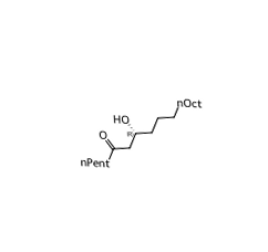 [CH2]CCCCC(=O)C[C@H](O)CCCCCCCCCCC